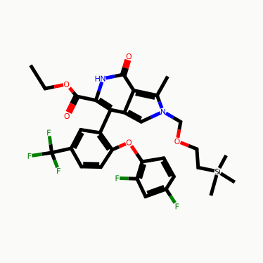 CCOC(=O)c1[nH]c(=O)c2c(C)n(COCC[Si](C)(C)C)cc2c1-c1cc(C(F)(F)F)ccc1Oc1ccc(F)cc1F